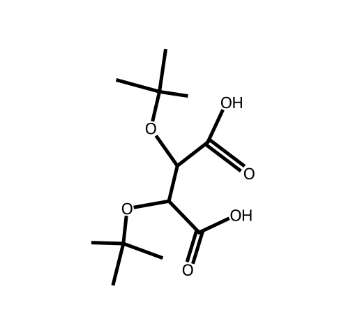 CC(C)(C)OC(C(=O)O)C(OC(C)(C)C)C(=O)O